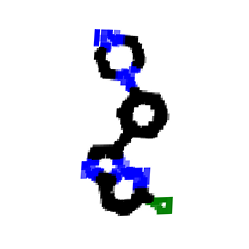 Clc1ccc2ncc(-c3cccc(N4CCNCC4)c3)n2n1